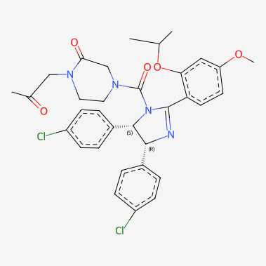 COc1ccc(C2=N[C@H](c3ccc(Cl)cc3)[C@H](c3ccc(Cl)cc3)N2C(=O)N2CCN(CC(C)=O)C(=O)C2)c(OC(C)C)c1